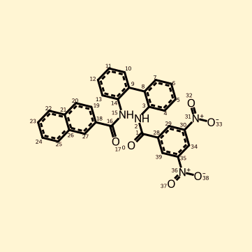 O=C(Nc1ccccc1-c1ccccc1NC(=O)c1ccc2ccccc2c1)c1cc([N+](=O)[O-])cc([N+](=O)[O-])c1